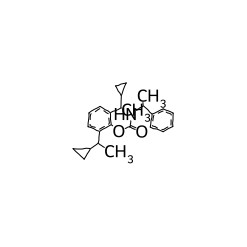 CC(NC(=O)Oc1c(C(C)C2CC2)cccc1C(C)C1CC1)c1ccccc1